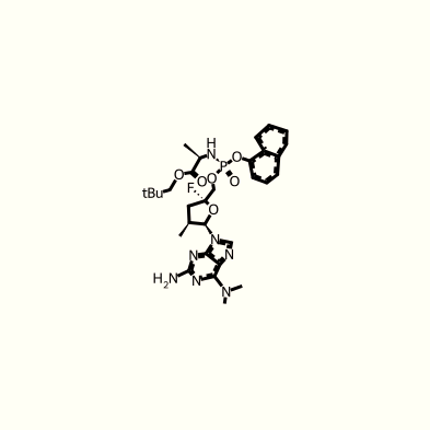 C[C@@H](N[P@](=O)(OC[C@]1(F)C[C@H](C)[C@H](n2cnc3c(N(C)C)nc(N)nc32)O1)Oc1cccc2ccccc12)C(=O)OCC(C)(C)C